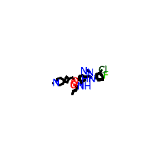 CC=CC(=O)Nc1cc2c(Nc3ccc(F)c(Cl)c3)ncnc2cc1OCC1CC2(CCN(C)CC2)C1